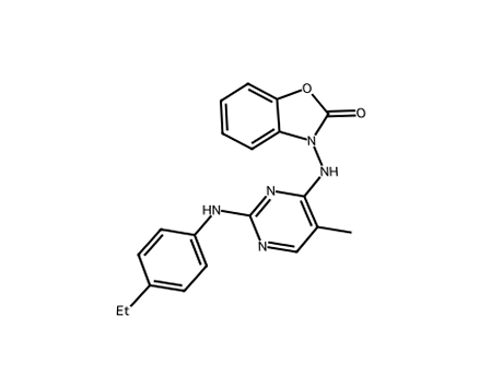 CCc1ccc(Nc2ncc(C)c(Nn3c(=O)oc4ccccc43)n2)cc1